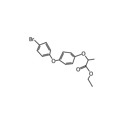 CCOC(=O)C(C)Oc1ccc(Oc2ccc(Br)cc2)cc1